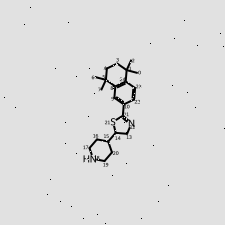 CC1(C)CCC(C)(C)c2cc(C3=NCC(C4CCNCC4)S3)ccc21